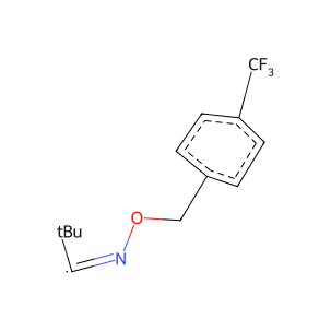 CC(C)(C)/[C]=N\OCc1ccc(C(F)(F)F)cc1